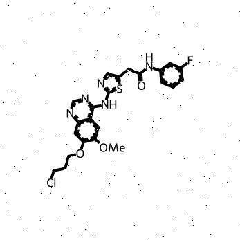 COc1cc2c(Nc3ncc(CC(=O)Nc4cccc(F)c4)s3)ncnc2cc1OCCCCl